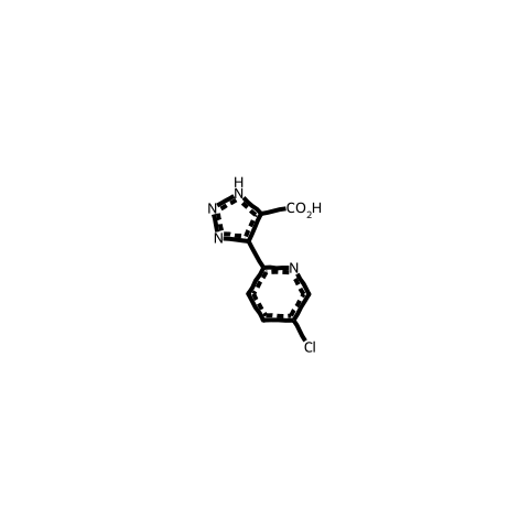 O=C(O)c1[nH]nnc1-c1ccc(Cl)cn1